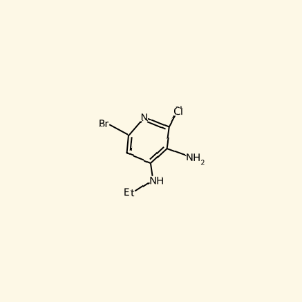 CCNc1cc(Br)nc(Cl)c1N